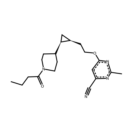 CCCC(=O)N1CCC([C@H]2C[C@H]2CCOc2cc(C#N)nc(C)n2)CC1